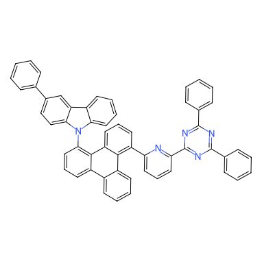 c1ccc(-c2ccc3c(c2)c2ccccc2n3-c2cccc3c4ccccc4c4c(-c5cccc(-c6nc(-c7ccccc7)nc(-c7ccccc7)n6)n5)cccc4c23)cc1